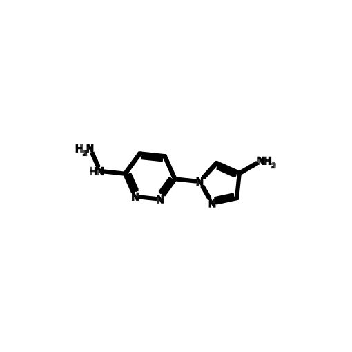 NNc1ccc(-n2cc(N)cn2)nn1